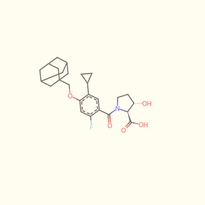 O=C(O)[C@@H]1[C@@H](O)CCN1C(=O)c1cc(C2CC2)c(OCC23CC4CC(CC(C4)C2)C3)cc1F